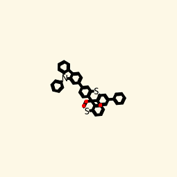 c1ccc(-c2ccc3c(c2)Sc2cc(-c4ccc5c6ccccc6n(-c6ccccc6)c5c4)ccc2C32c3ccccc3Sc3ccccc32)cc1